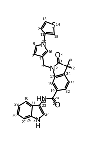 CC1(C)C(=O)N(Cc2ccn(-c3ccsc3)c2)c2cc(C(=O)Nc3c[nH]c4ccccc34)ccc21